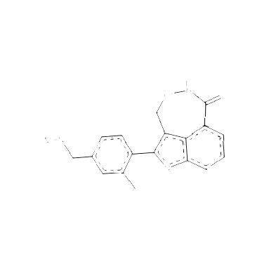 CNCc1ccc(-c2[nH]c3cccc4c3c2CONC4=O)c(C)c1